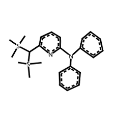 CS(C)(C)C(c1cccc(N(c2ccccc2)c2ccccc2)n1)S(C)(C)C